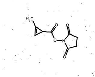 CC1=CC1C(=O)ON1C(=O)CCC1=O